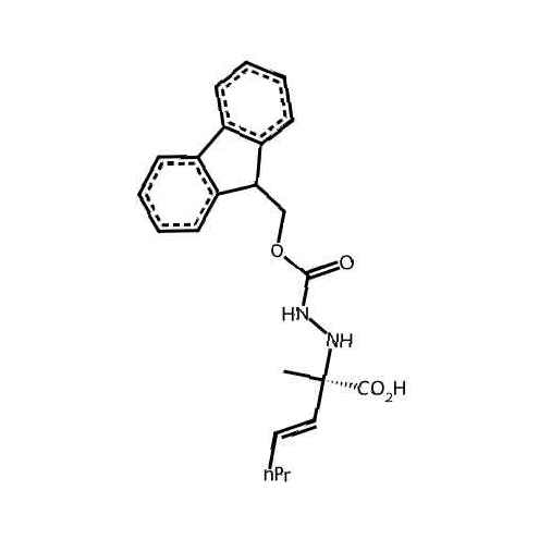 CCCC=C[C@@](C)(NNC(=O)OCC1c2ccccc2-c2ccccc21)C(=O)O